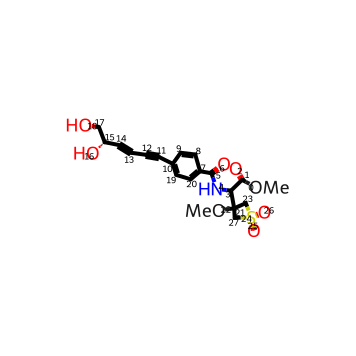 COC(=O)C(NC(=O)c1ccc(C#CC#C[C@H](O)CO)cc1)C1(OC)CS(=O)(=O)C1